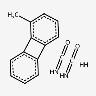 Cc1cccc2c1-c1ccccc1-2.N=C=O.N=C=O.[HH]